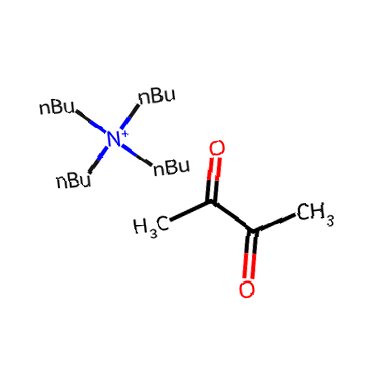 CC(=O)C(C)=O.CCCC[N+](CCCC)(CCCC)CCCC